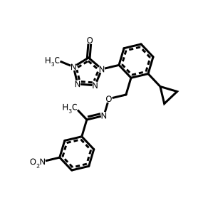 CC(=NOCc1c(C2CC2)cccc1-n1nnn(C)c1=O)c1cccc([N+](=O)[O-])c1